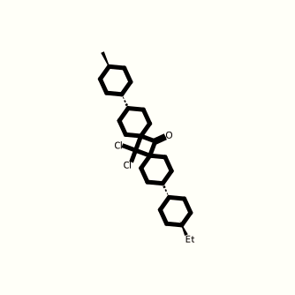 CC[C@H]1CC[C@H](C2CCC3(CC2)C(=O)C2(CCC([C@H]4CC[C@H](C)CC4)CC2)C3(Cl)Cl)CC1